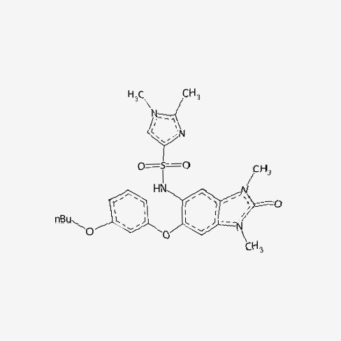 CCCCOc1cccc(Oc2cc3c(cc2NS(=O)(=O)c2cn(C)c(C)n2)n(C)c(=O)n3C)c1